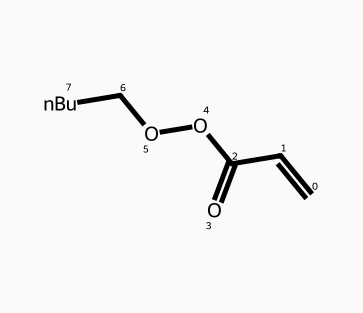 C=CC(=O)OOCCCCC